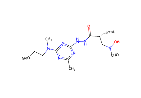 CCCCC[C@H](CN(O)C=O)C(=O)NNc1nc(C)nc(N(C)CCOC)n1